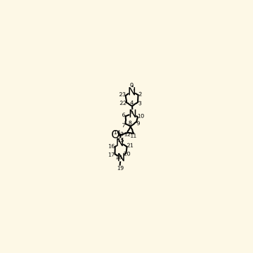 CN1CCC(N2CCC3(CC2)CC3C(=O)N2CCN(C)CC2)CC1